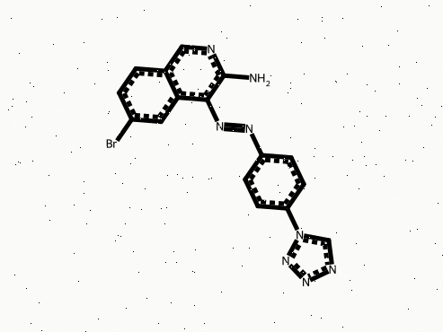 Nc1ncc2ccc(Br)cc2c1/N=N/c1ccc(-n2cnnn2)cc1